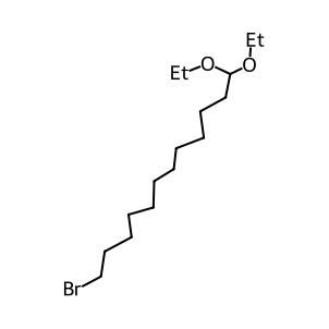 CCOC(CCCCCCCCCCCBr)OCC